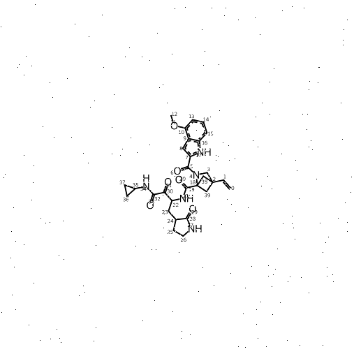 C=CC12CN(C(=O)c3cc4c(OC)cccc4[nH]3)C(C(=O)NC(CC3CCNC3=O)C(=O)C(=O)NC3CC3)(C1)C2